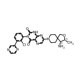 C[C@@H]1OCC2(CCN(c3cnc4c(=O)n(-c5cccc(-c6cnccn6)c5Cl)c(=O)[nH]c4n3)CC2)[C@@H]1N